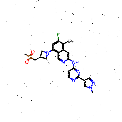 CC(C)c1c(F)cc(N2C[C@H](CS(C)(=O)=O)[C@H]2C)c2cnc(Nc3ccnc(-c4cnn(C)c4)n3)cc12